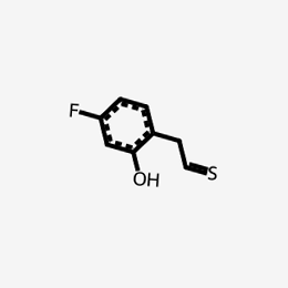 Oc1cc(F)ccc1CC=S